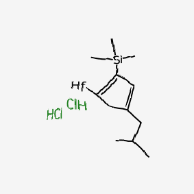 CC(C)CC1=CC([Si](C)(C)C)=[C]([Hf])C1.Cl.Cl